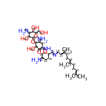 CC(C)=CCC/C(C)=C/CC/C(C)=C/C=N/CC1CCC(N)C(OC2C(N)CC(N)C(OC3OC(CO)C(O)C(N)C3O)C2O)O1